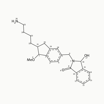 COC1c2ccc(CN3C(=O)c4ccccc4C3O)cc2CC1CCCCN